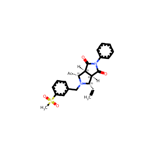 C=C[C@H]1[C@@H]2C(=O)N(c3ccccc3)C(=O)[C@@H]2[C@@H](C(C)=O)N1Cc1cccc(S(C)(=O)=O)c1